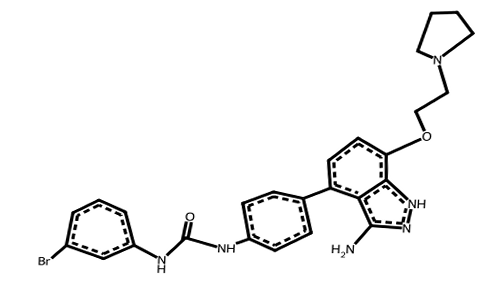 Nc1n[nH]c2c(OCCN3CCCC3)ccc(-c3ccc(NC(=O)Nc4cccc(Br)c4)cc3)c12